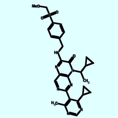 COCS(=O)(=O)c1ccc(CNc2nc3cnc(-c4c(C)ncnc4C4CC4)nc3n(C(C)C3CC3)c2=O)cc1